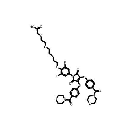 O=C(O)COCCOCCOCCOc1c(F)cc(N2C(=O)C(Sc3ccc(C(=O)N4CCOCC4)cc3)=C(Sc3ccc(C(=O)N4CCOCC4)cc3)C2=O)cc1F